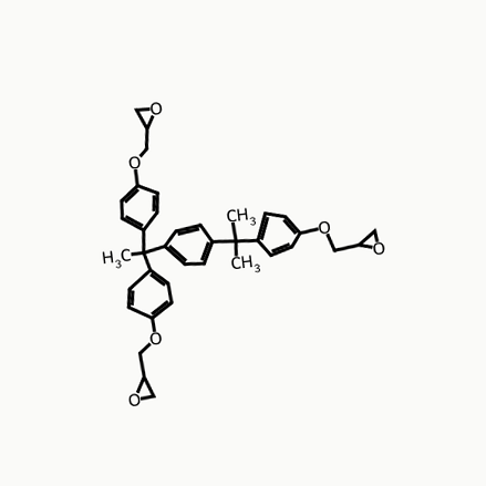 CC(C)(c1ccc(OCC2CO2)cc1)c1ccc(C(C)(c2ccc(OCC3CO3)cc2)c2ccc(OCC3CO3)cc2)cc1